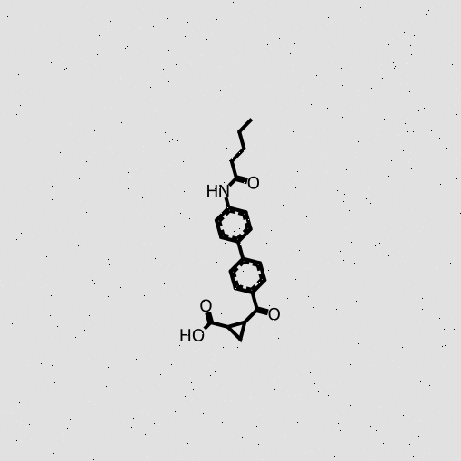 CCCCC(=O)Nc1ccc(-c2ccc(C(=O)C3CC3C(=O)O)cc2)cc1